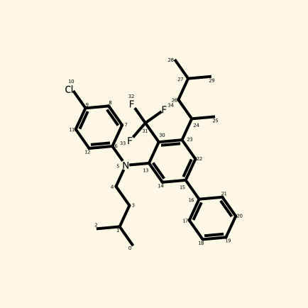 CC(C)CCN(c1ccc(Cl)cc1)c1cc(-c2ccccc2)cc(C(C)CC(C)C)c1C(F)(F)F